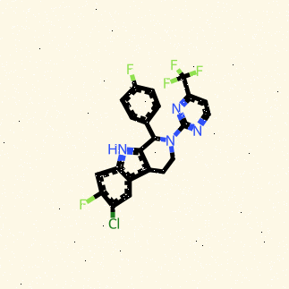 Fc1ccc(C2c3[nH]c4cc(F)c(Cl)cc4c3CCN2c2nccc(C(F)(F)F)n2)cc1